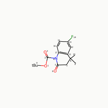 CC(C)(C)OC(=O)N1C(=O)CC(C)(C)c2cc(F)ccc21